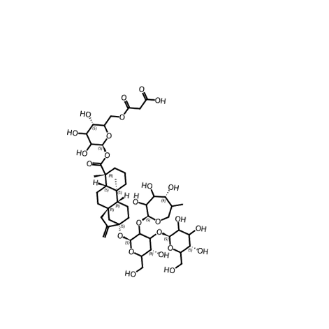 C=C1C[C@@]23CC[C@H]4[C@@](C)(CCC[C@@]4(C)C(=O)O[C@@H]4OC(COC(=O)CC(=O)O)[C@@H](O)C(O)C4O)[C@@H]2CC[C@]1(O[C@@H]1OC(CO)[C@@H](O)C(O[C@@H]2OC(CO)[C@@H](O)C(O)C2O)C1O[C@@H]1OCC(C)[C@@H](O)C(O)C1O)C3